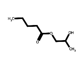 CCCCC(=O)OCC(C)O